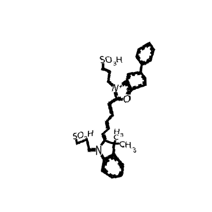 CC1(C)C(=CC=CC=Cc2oc3ccc(-c4ccccc4)cc3[n+]2CCCS(=O)(=O)O)N(CCCS(=O)(=O)O)c2ccccc21